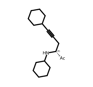 CC(=O)[C@@H](CC#CC1CCCCC1)NC1CCCCC1